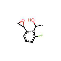 [CH2]C(O)c1c(F)cccc1C1CO1